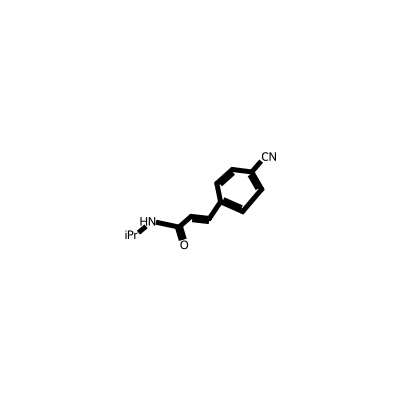 CC(C)NC(=O)C=Cc1ccc(C#N)cc1